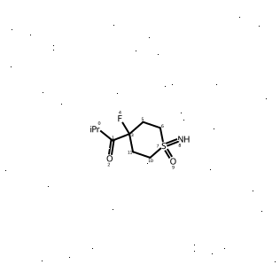 CC(C)C(=O)C1(F)CCS(=N)(=O)CC1